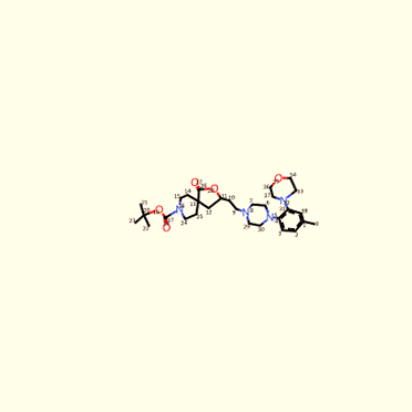 Cc1ccc(N2CCN(CCC3CC4(CCN(C(=O)OC(C)(C)C)CC4)C(=O)O3)CC2)c(N2CCOCC2)c1